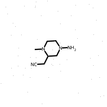 CN1CCN(N)CC1CC#N